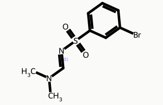 CN(C)/C=N/S(=O)(=O)c1cccc(Br)c1